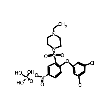 CCN1CCN(S(=O)(=O)c2cc([N+](=O)[O-])ccc2Oc2cc(Cl)cc(Cl)c2)CC1.O=P(O)(O)O